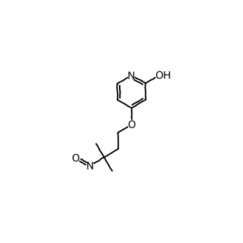 CC(C)(CCOc1ccnc(O)c1)N=O